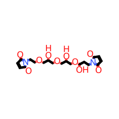 O=C1C=CC(=O)N1CCOCC(O)COCC(O)COC(O)CCN1C(=O)C=CC1=O